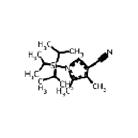 Cc1c(C#N)cn([Si](C(C)C)(C(C)C)C(C)C)c1C